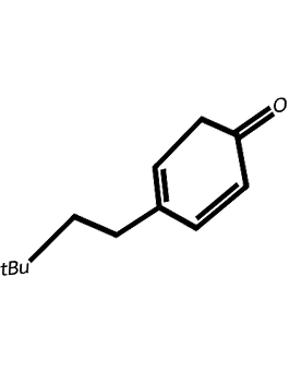 CC(C)(C)CCC1=CCC(=O)C=C1